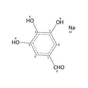 O=Cc1cc(O)c(O)c(O)c1.[Na]